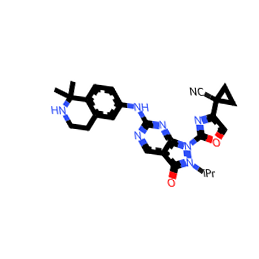 CC(C)n1c(=O)c2cnc(Nc3ccc4c(c3)CCNC4(C)C)nc2n1-c1nc(C2(C#N)CC2)co1